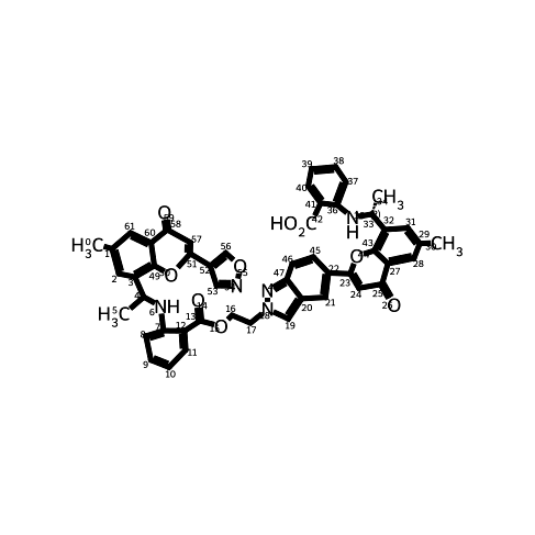 Cc1cc(C(C)Nc2ccccc2C(=O)OCCn2cc3cc(-c4cc(=O)c5cc(C)cc([C@@H](C)Nc6ccccc6C(=O)O)c5o4)ccc3n2)c2oc(-c3cnoc3)cc(=O)c2c1